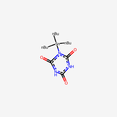 CCC[CH2][Sn]([CH2]CCC)([CH2]CCC)[n]1c(=O)[nH]c(=O)[nH]c1=O